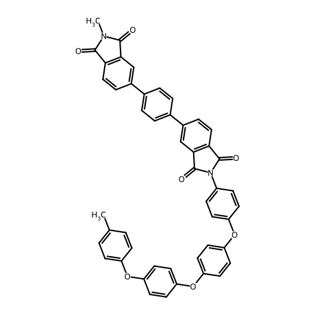 Cc1ccc(Oc2ccc(Oc3ccc(Oc4ccc(N5C(=O)c6ccc(-c7ccc(-c8ccc9c(c8)C(=O)N(C)C9=O)cc7)cc6C5=O)cc4)cc3)cc2)cc1